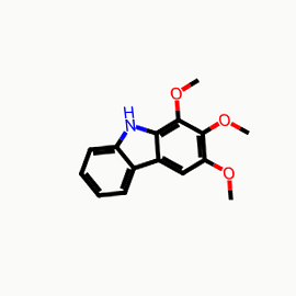 COc1cc2c([nH]c3ccccc32)c(OC)c1OC